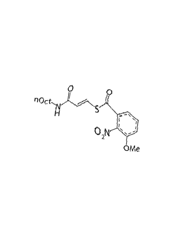 CCCCCCCCNC(=O)C=CSC(=O)c1cccc(OC)c1[N+](=O)[O-]